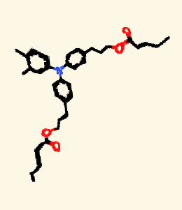 CC/C=C/C(=O)OCCCc1ccc(N(c2ccc(CCCOC(=O)/C=C/CC)cc2)c2ccc(C)c(C)c2)cc1